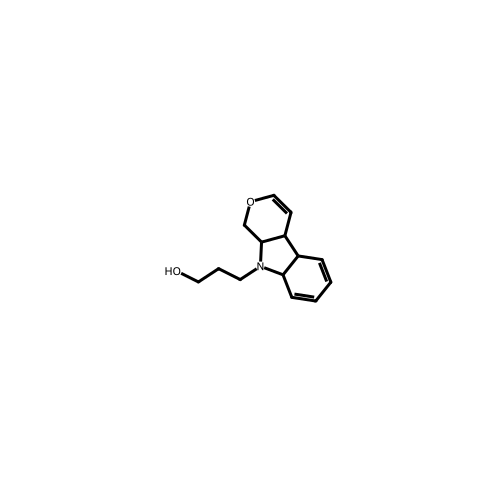 OCCCN1C2C=CC=CC2C2C=COCC21